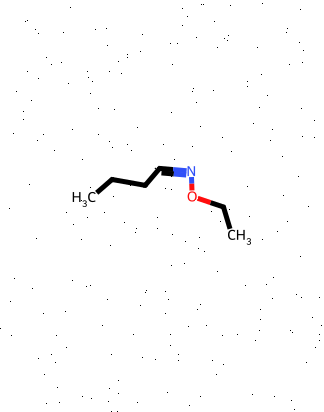 CCC/[C]=N\OCC